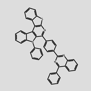 c1ccc(-c2nc(-c3ccc(-c4nc5sc6ccccc6c5c5c6ccccc6n(-c6ccccc6)c45)cc3)nc3ccccc23)cc1